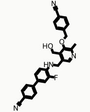 Cc1ncc(CNc2ccc(-c3ccc(C#N)cc3)cc2F)c(CO)c1OCc1ccc(C#N)cc1